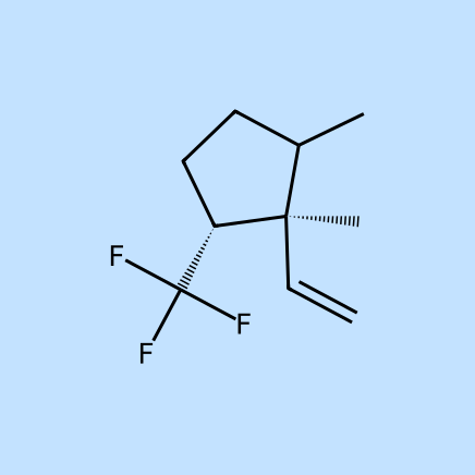 C=C[C@]1(C)C(C)CC[C@H]1C(F)(F)F